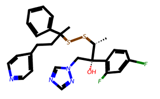 C[C@@H](SSC(C)(CCc1ccncc1)c1ccccc1)[C@](O)(Cn1cncn1)c1ccc(F)cc1F